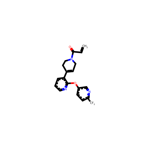 C=CC(=O)N1CC=C(c2cccnc2Oc2ccc(C(F)(F)F)nc2)CC1